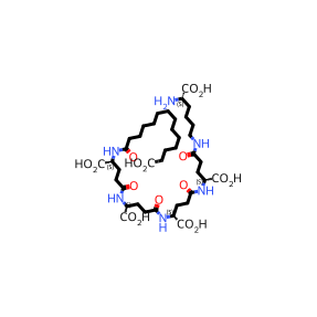 N[C@@H](CCCCNC(=O)CC[C@H](NC(=O)CC[C@H](NC(=O)CC[C@H](NC(=O)CC[C@H](NC(=O)CCCCCCCCCCCCC(=O)O)C(=O)O)C(=O)O)C(=O)O)C(=O)O)C(=O)O